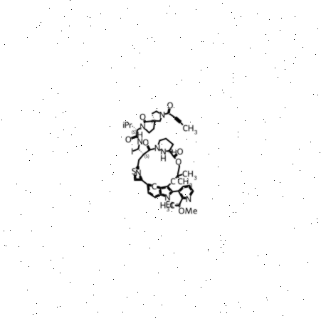 CC#CC(=O)N1CC[C@@]2(CCN([C@H](C(=O)NC(I)[C@H]3Cc4nc(cs4)-c4ccc5c(c4)c(c(-c4cccnc4[C@H](C)OC)n5CC)CC(C)(C)COC(=O)[C@@H]4CCCN(N4)C3=O)C(C)C)C2=O)C1